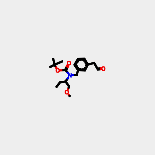 CCC(COC)N(Cc1cccc(CC=O)c1)C(=O)OC(C)(C)C